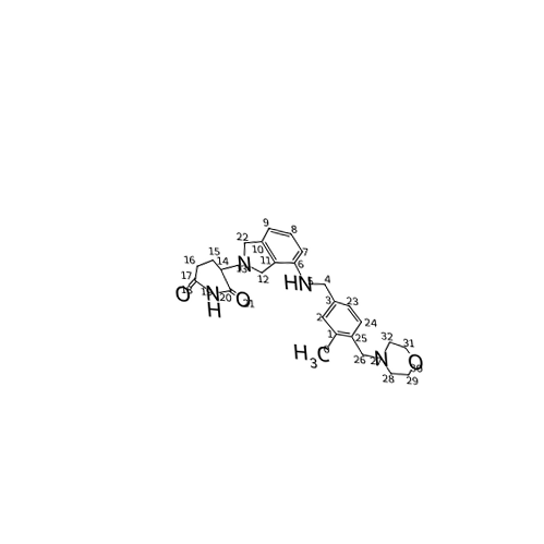 Cc1cc(CNc2cccc3c2CN(C2CCC(=O)NC2=O)C3)ccc1CN1CCOCC1